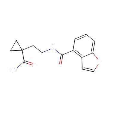 NC(=O)C1([CH]CNC(=O)c2cccc3occc23)CC1